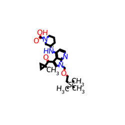 CC1(C(=O)c2cn(COCC[Si](C)(C)C)c3nccc(N[C@@H]4CCCN(C(=O)O)C4)c23)CC1